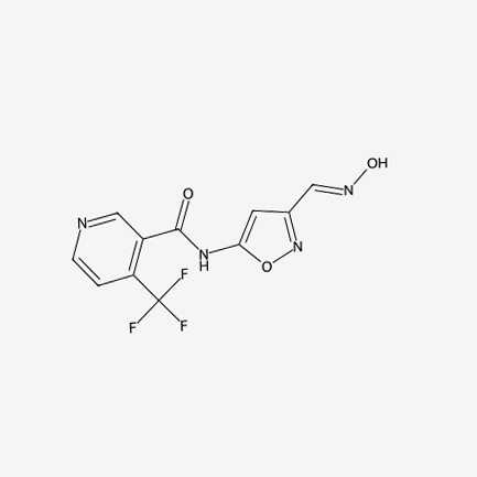 O=C(Nc1cc(C=NO)no1)c1cnccc1C(F)(F)F